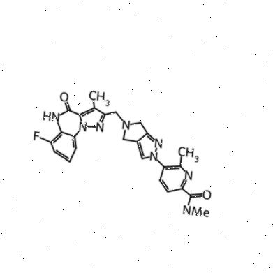 CNC(=O)c1ccc(-n2cc3c(n2)CN(Cc2nn4c(c2C)c(=O)[nH]c2c(F)cccc24)C3)c(C)n1